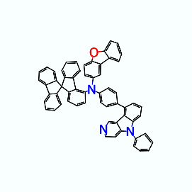 c1ccc(-n2c3ccncc3c3c(-c4ccc(N(c5ccc6oc7ccccc7c6c5)c5cccc6c5-c5ccccc5C65c6ccccc6-c6ccccc65)cc4)cccc32)cc1